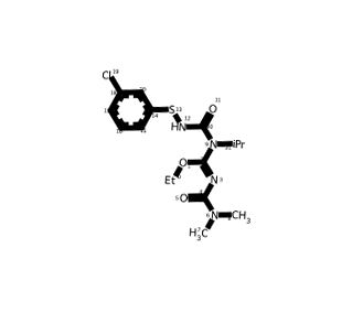 CCOC(=NC(=O)N(C)C)N(C(=O)NSc1cccc(Cl)c1)C(C)C